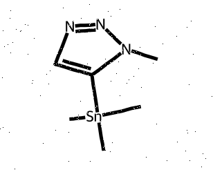 Cn1nnc[c]1[Sn]([CH3])([CH3])[CH3]